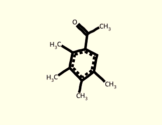 CC(=O)c1cc(C)c(C)c(C)c1C